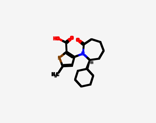 Cc1cc(N2C(=O)CCCC[C@H]2C2CCCCC2)c(C(=O)O)s1